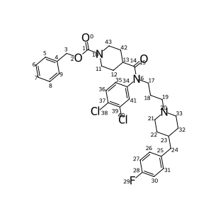 O=C(OCc1ccccc1)N1CCC(C(=O)N(CCCN2CCC(Cc3ccc(F)cc3)CC2)c2ccc(Cl)c(Cl)c2)CC1